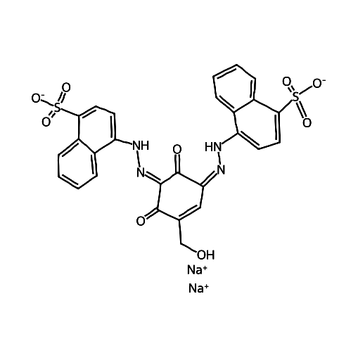 O=c1c(CO)c/c(=N/Nc2ccc(S(=O)(=O)[O-])c3ccccc23)c(=O)/c1=N\Nc1ccc(S(=O)(=O)[O-])c2ccccc12.[Na+].[Na+]